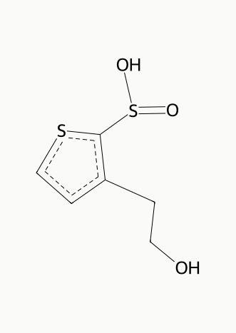 O=S(O)c1sccc1CCO